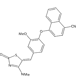 CNC1=NC(=O)S/C1=C\c1ccc(Oc2ccc(C#N)c3ccccc23)c(OC)c1